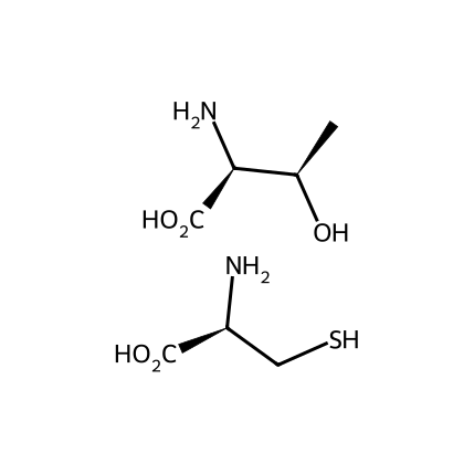 C[C@@H](O)[C@H](N)C(=O)O.N[C@@H](CS)C(=O)O